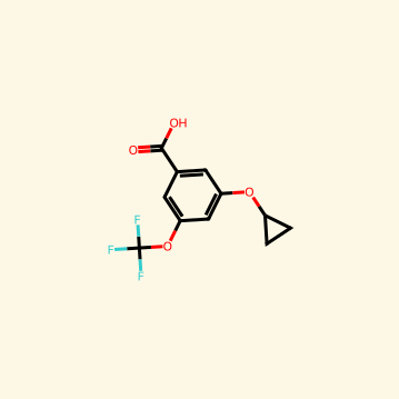 O=C(O)c1cc(OC2CC2)cc(OC(F)(F)F)c1